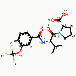 CC(C)[C@H](NC(=O)c1cccc(OC(F)(F)F)c1)C(=O)N1CCC[C@H]1C(=O)O